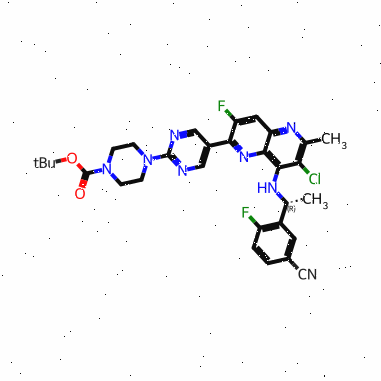 Cc1nc2cc(F)c(-c3cnc(N4CCN(C(=O)OC(C)(C)C)CC4)nc3)nc2c(N[C@H](C)c2cc(C#N)ccc2F)c1Cl